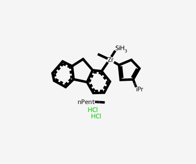 CC(C)C1=CC[C]([Zr]([CH3])([SiH3])[c]2cccc3c2Cc2ccccc2-3)=C1.CCCCCC.Cl.Cl